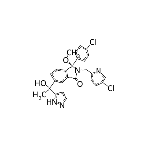 CO[C@]1(c2ccc(Cl)cc2)c2ccc(C(C)(O)c3ccn[nH]3)cc2C(=O)N1Cc1ccc(Cl)cn1